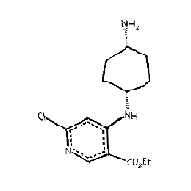 CCOC(=O)c1cnc(Cl)cc1N[C@H]1CC[C@@H](N)CC1